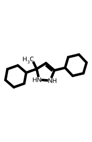 CC1(C2CCCCC2)C=C(C2CCCCC2)NN1